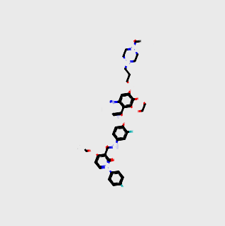 C=Nc1cc(OCCCN2CCN(C(C)=O)CC2)c2c(c1/C(=C\C)Oc1ccc(NC(=O)c3c(OCC)ccn(-c4ccc(F)cc4)c3=O)cc1F)OCCO2